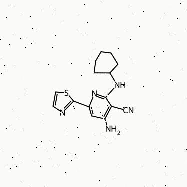 N#Cc1c(N)cc(-c2nccs2)nc1NC1CCCCC1